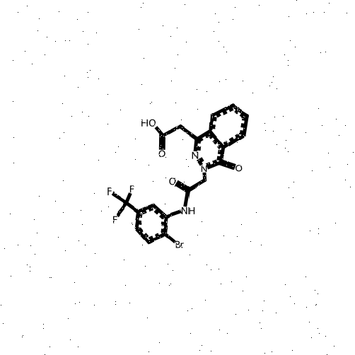 O=C(O)Cc1nn(CC(=O)Nc2cc(C(F)(F)F)ccc2Br)c(=O)c2ccccc12